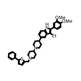 CCc1c(-c2ccc(OC)c(OC)c2)[nH]c2ccc(C3CCN(C4CCN(Cc5ccc(-c6ccccc6)s5)CC4)CC3)cc12